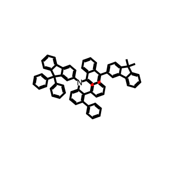 CC1(C)c2ccccc2-c2cc(-c3ccc(N(c4ccc5c(c4)C(c4ccccc4)(c4ccccc4)c4ccccc4-5)c4cccc(-c5ccccc5)c4-c4ccccc4)c4ccccc34)ccc21